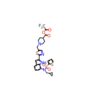 O=C(OC(=O)C(F)(F)F)C1CCN(Cc2cnc(-c3cc4cccc(N(CC5CC5)S(=O)(=O)c5cccs5)c4[nH]3)s2)CC1